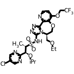 CCOC[C@@H]1COc2c(OCC(F)(F)F)ccnc2-c2nnc(NS(=O)(=O)[C@@H](C)[C@@H](OC(C)C)c3ncc(Cl)cn3)n21